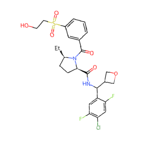 CC[C@@H]1CC[C@H](C(=O)NC(c2cc(F)c(Cl)cc2F)C2COC2)N1C(=O)c1cccc(S(=O)(=O)CCO)c1